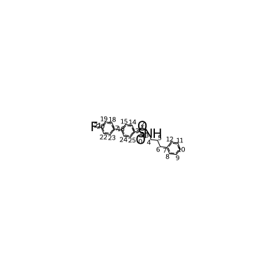 O=S(=O)(NCCCc1ccccc1)c1ccc(-c2ccc(F)cc2)cc1